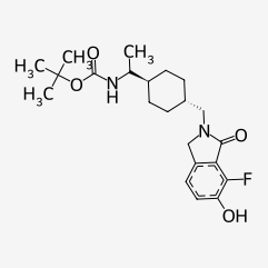 CC(NC(=O)OC(C)(C)C)[C@H]1CC[C@H](CN2Cc3ccc(O)c(F)c3C2=O)CC1